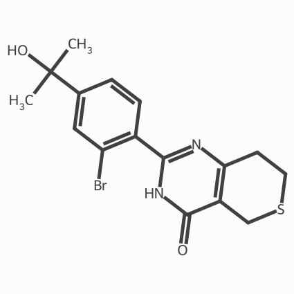 CC(C)(O)c1ccc(-c2nc3c(c(=O)[nH]2)CSCC3)c(Br)c1